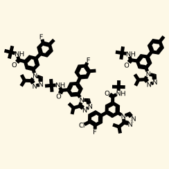 CC(C)c1nncn1-c1cc(C(=O)NC(C)(C)C)cc(-c2ccc(Cl)c(F)c2)c1.Cc1cc(-c2cc(C(=O)NC(C)(C)C)cc(-n3cnnc3C(C)C)c2)ccc1F.Cc1ccc(-c2cc(C(=O)NC(C)(C)C)cc(-n3cnnc3C(C)C)c2)cc1.Cc1ccc(-c2cc(C(=O)NC(C)(C)C)cc(-n3cnnc3C(C)C)c2)cc1F